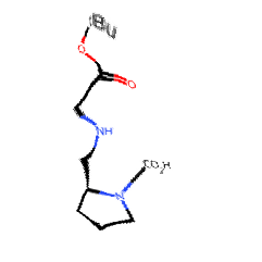 CC(C)(C)OC(=O)CNC[C@@H]1CCCN1C(=O)O